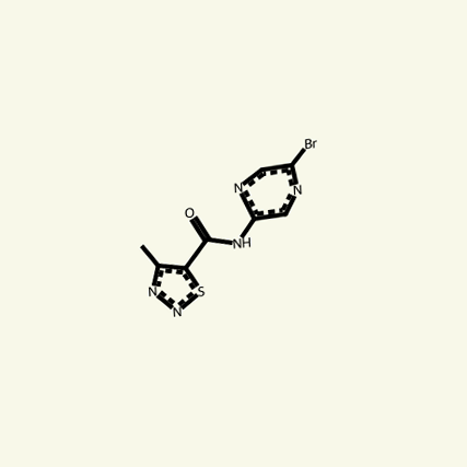 Cc1nnsc1C(=O)Nc1cnc(Br)cn1